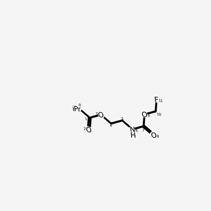 CC(C)C(=O)OCCNC(=O)OCF